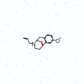 C=CCN1CCC23CCCCC2C1Cc1ccc(OC)cc13